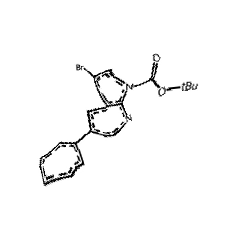 CC(C)(C)OC(=O)n1cc(Br)c2cc(-c3ccccc3)cnc21